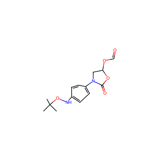 CC(C)(C)ONc1ccc(N2CC(OC=O)OC2=O)cc1